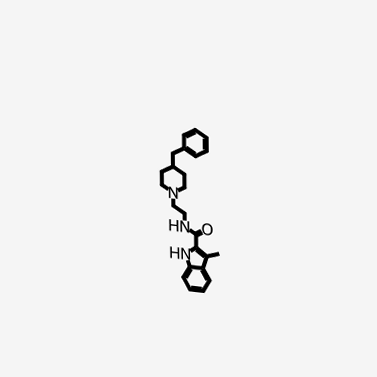 Cc1c(C(=O)NCCN2CCC(Cc3ccccc3)CC2)[nH]c2ccccc12